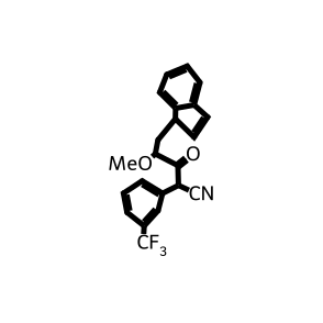 COC(CC1C=Cc2ccccc21)C(=O)C(C#N)c1cccc(C(F)(F)F)c1